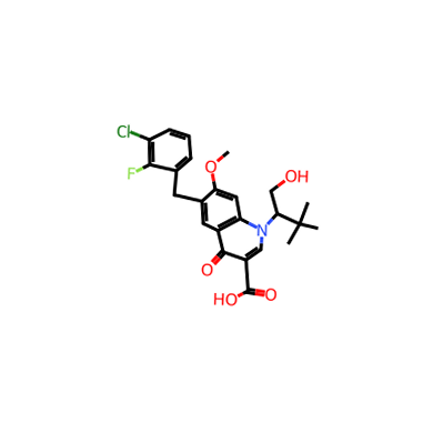 COc1cc2c(cc1Cc1cccc(Cl)c1F)c(=O)c(C(=O)O)cn2C(CO)C(C)(C)C